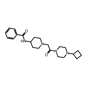 O=C(NC1CCN(CC(=O)N2CCN(C3CCC3)CC2)CC1)c1ccccc1